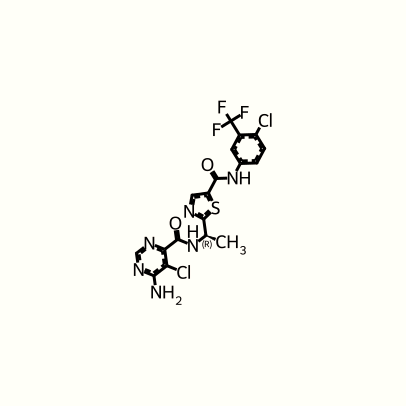 C[C@@H](NC(=O)c1ncnc(N)c1Cl)c1ncc(C(=O)Nc2ccc(Cl)c(C(F)(F)F)c2)s1